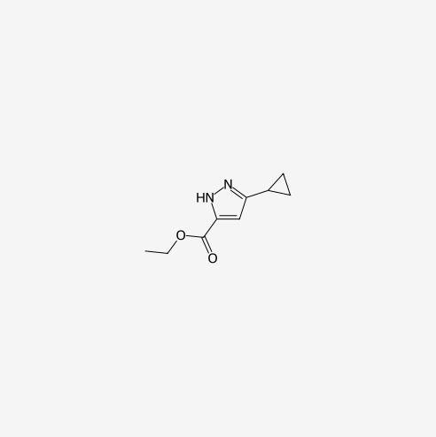 CCOC(=O)c1cc(C2CC2)n[nH]1